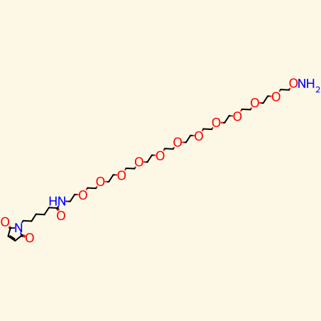 NOCCOCCOCCOCCOCCOCCOCCOCCOCCOCCOCCOCCNC(=O)CCCCCN1C(=O)C=CC1=O